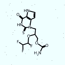 NC(=O)OCC(Cn1c(=S)[nH]c(=O)c2[nH]ccc21)OC(F)C(F)F